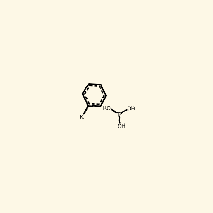 OB(O)O.[K][c]1ccccc1